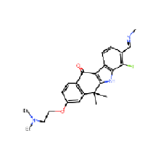 CCN(CC)CCOc1ccc2c(c1)C(C)(C)c1[nH]c3c(F)c(/C=N/C)ccc3c1C2=O